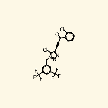 O=C(C#Cc1nnn(Cc2cc(C(F)(F)F)cc(C(F)(F)F)c2)c1Cl)c1ccccc1Cl